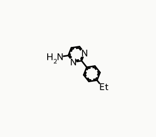 CCc1ccc(-c2nccc(N)n2)cc1